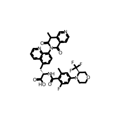 Cc1cc(N2CCOC[C@@H]2C(F)(F)F)cc(F)c1C(=O)N[C@@H](Cc1ccc(N2C(=O)c3ccncc3C(C)C2=O)c2ncccc12)C(=O)O